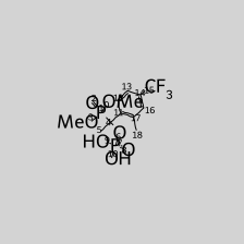 COP(=O)(OC)C(C)(OP(=O)(O)O)c1ccc(C(F)(F)F)cc1C